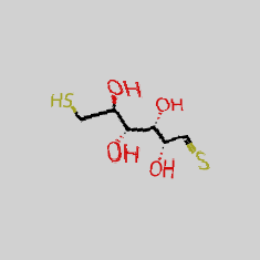 O[C@@H]([C@H](O)[C@@H](O)C=S)[C@H](O)CS